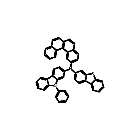 c1ccc(-n2c3ccccc3c3ccc(N(c4ccc5c(c4)sc4ccccc45)c4ccc5ccc6ccc7ccccc7c6c5c4)cc32)cc1